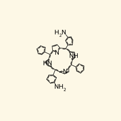 Nc1cccc(-c2c3nc(c(-c4ccccc4)c4ccc([nH]4)c(-c4cccc(N)c4)c4nc(c(-c5ccccc5)c5ccc2[nH]5)C=C4)C=C3)c1